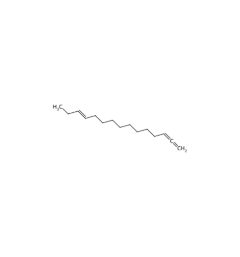 C=C=CCCCCCCCCC=CCC